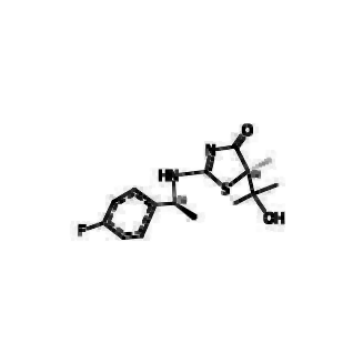 C[C@H](NC1=NC(=O)[C@@](C)(C(C)(C)O)S1)c1ccc(F)cc1